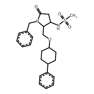 CS(=O)(=O)NC1CC(=O)N(Cc2ccccc2)C1COC1CCC(c2ccccc2)CC1